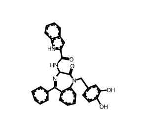 O=C(NC1N=C(c2ccccc2)c2ccccc2N(Cc2ccc(O)c(O)c2)C1=O)c1cc2ccccc2[nH]1